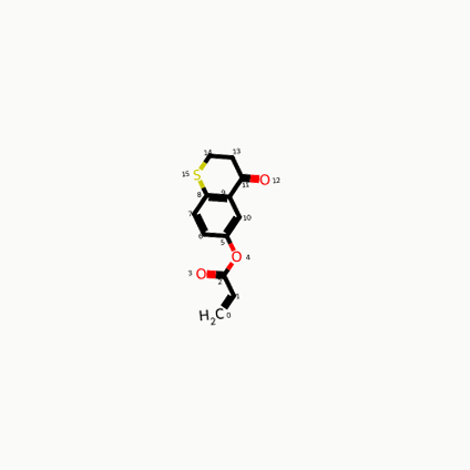 C=CC(=O)Oc1ccc2c(c1)C(=O)CCS2